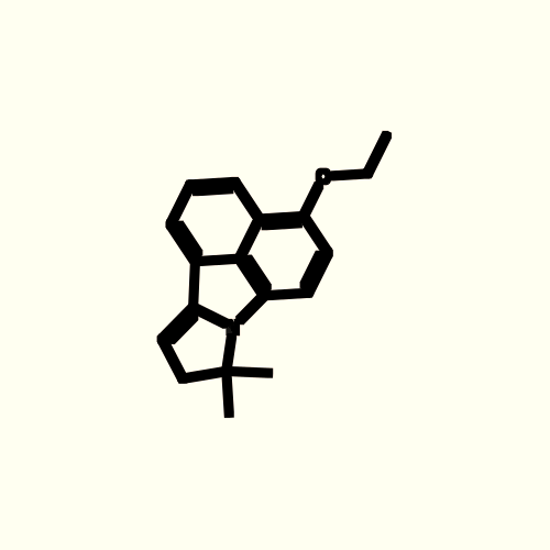 CCOc1ccc2c3c1cccc3c1n2C(C)(C)CC=1